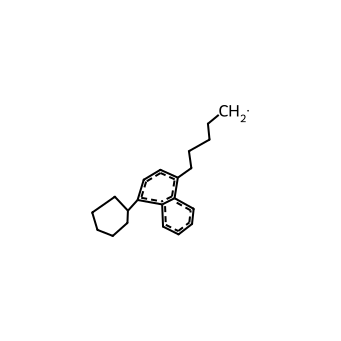 [CH2]CCCCc1ccc(C2CCCCC2)c2ccccc12